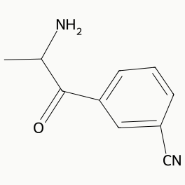 CC(N)C(=O)c1cccc(C#N)c1